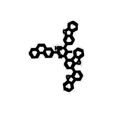 CC1=C(c2ccc(-c3cccc4c3oc3ccccc34)c3oc4ccccc4c23)N=C(c2ccc3c(ccc4ccccc43)c2)NC1c1ccc2c(c1)oc1ccccc12